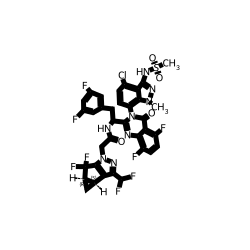 Cn1nc(NS(C)(=O)=O)c2c(Cl)ccc(-n3c(C(Cc4cc(F)cc(F)c4)NC(=O)Cn4nc(C(F)F)c5c4C(F)(F)[C@@H]4C[C@H]54)nc4c(F)ccc(F)c4c3=O)c21